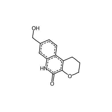 O=c1[nH]c2cc(CO)ccc2c2c1OCCC2